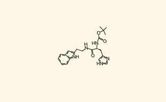 CC(C)(C)OC(=O)N[C@@H](Cc1c[nH]cn1)C(=O)NCCc1cc2ccccc2[nH]1